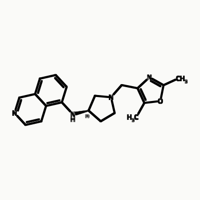 Cc1nc(CN2CC[C@@H](Nc3cccc4cnccc34)C2)c(C)o1